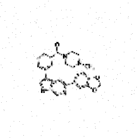 CN1CCN(C(=O)c2cccc(-c3cnc4cnc(-c5ccc6c(c5)OCO6)cn34)c2)CC1